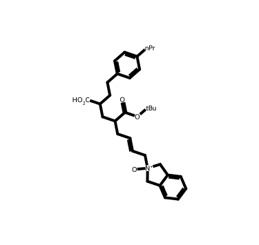 CCCc1ccc(CCC(CC(CC=CC[N+]2([O-])Cc3ccccc3C2)C(=O)OC(C)(C)C)C(=O)O)cc1